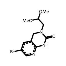 COC(CN1Cc2cc(Br)cnc2NC1=O)OC